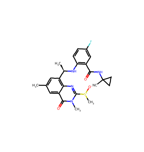 Cc1cc([C@@H](C)Nc2ccc(F)cc2C(=O)NC2(C#N)CC2)c2nc([S+](C)[O-])n(C)c(=O)c2c1